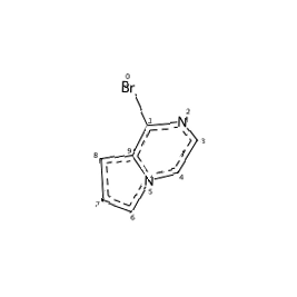 Brc1nccn2cccc12